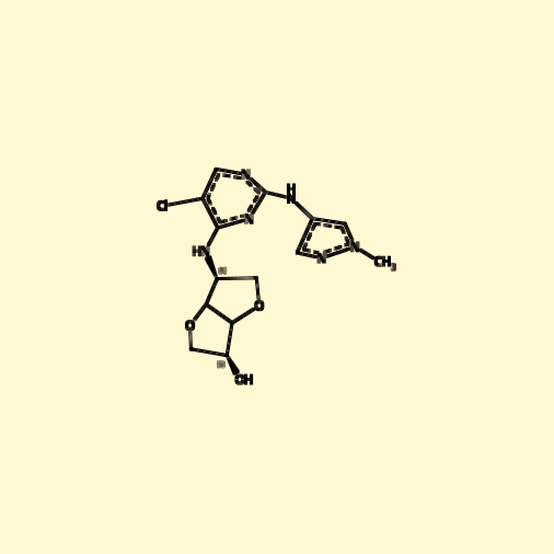 Cn1cc(Nc2ncc(Cl)c(N[C@H]3COC4C3OC[C@@H]4O)n2)cn1